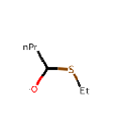 CCCC([O])SCC